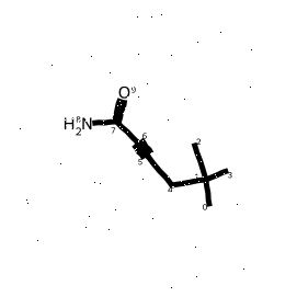 CC(C)(C)CC#CC(N)=O